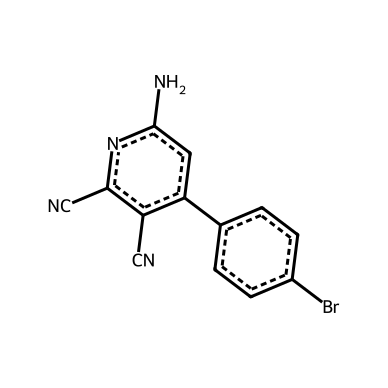 N#Cc1nc(N)cc(-c2ccc(Br)cc2)c1C#N